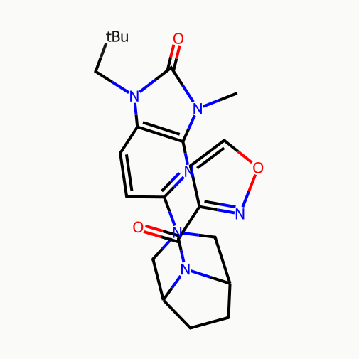 Cn1c(=O)n(CC(C)(C)C)c2ccc(N3CC4CCC(C3)N4C(=O)c3ccon3)nc21